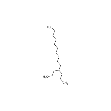 CCCCCCCCCCC(CCC)CCC